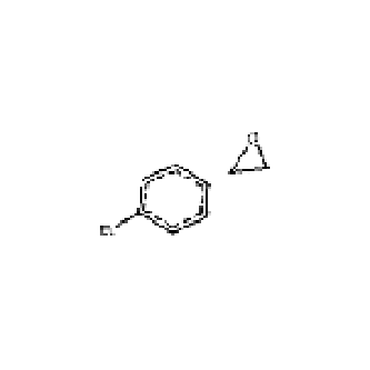 C1CO1.CCc1ccccc1